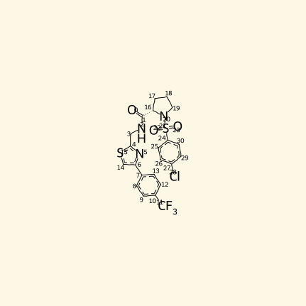 O=C(NCc1nc(-c2ccc(C(F)(F)F)cc2)cs1)[C@@H]1CCCN1S(=O)(=O)c1ccc(Cl)cc1